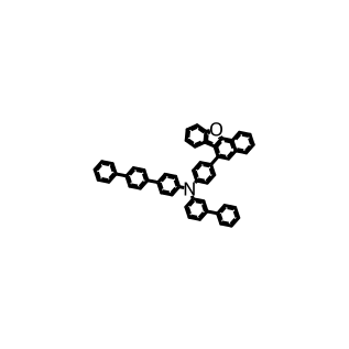 c1ccc(-c2ccc(-c3ccc(N(c4ccc(-c5cc6ccccc6c6oc7ccccc7c56)cc4)c4cccc(-c5ccccc5)c4)cc3)cc2)cc1